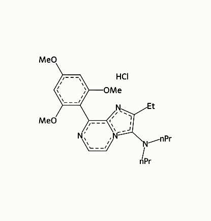 CCCN(CCC)c1c(CC)nc2c(-c3c(OC)cc(OC)cc3OC)nccn12.Cl